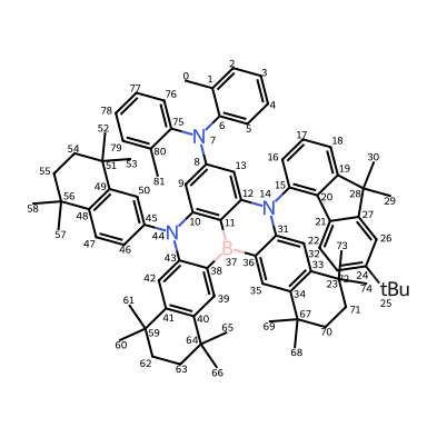 Cc1ccccc1N(c1cc2c3c(c1)N(c1cccc4c1-c1ccc(C(C)(C)C)cc1C4(C)C)c1cc4c(cc1B3c1cc3c(cc1N2c1ccc2c(c1)C(C)(C)CCC2(C)C)C(C)(C)CCC3(C)C)C(C)(C)CCC4(C)C)c1ccccc1C